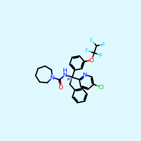 O=C(N[C@](Cc1ccccc1)(c1cccc(OC(F)(F)C(F)F)c1)c1ccc(Cl)cn1)N1CCCCCC1